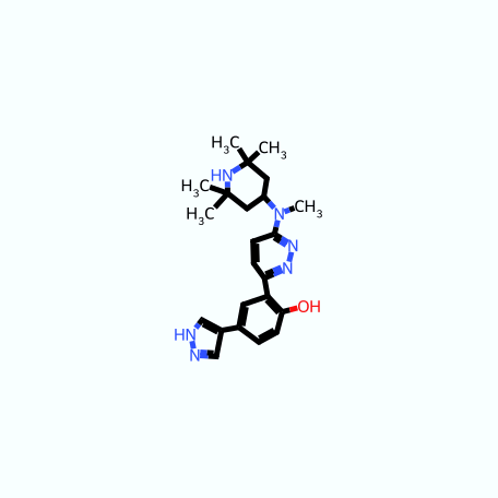 CN(c1ccc(-c2cc(-c3cn[nH]c3)ccc2O)nn1)C1CC(C)(C)NC(C)(C)C1